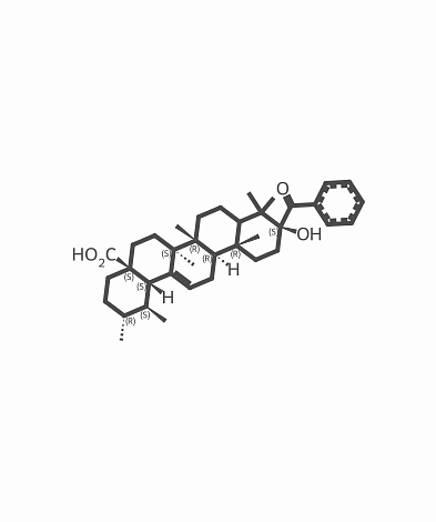 C[C@H]1[C@H](C)CC[C@]2(C(=O)O)CC[C@]3(C)C(=CC[C@@H]4[C@@]5(C)CC[C@@](O)(C(=O)c6ccccc6)C(C)(C)C5CC[C@]43C)[C@H]12